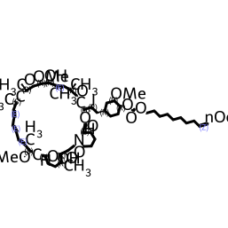 CCCCCCCC/C=C\CCCCCCCCOC(=O)O[C@@H]1CC[C@@H](C[C@@H](I)[C@@H]2CC(=O)[C@H](C)/C=C(\C)[C@@H](O)[C@@H](OC)C(=O)[C@H](C)C[C@H](C)/C=C/C=C/C=C(\C)[C@@H](OC)C[C@@H]3CC[C@@H](C)[C@@](O)(O3)C(=O)C(=O)N3CCCC[C@H]3C(=O)O2)C[C@H]1OC